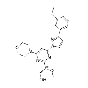 CCc1cccc(-c2ccn(-c3cc(N4CCOCC4)nc([C@H](CO)OC)n3)n2)c1